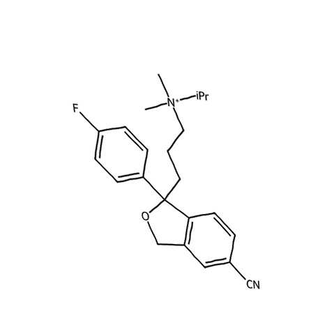 CC(C)[N+](C)(C)CCCC1(c2ccc(F)cc2)OCc2cc(C#N)ccc21